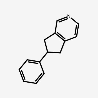 c1ccc(C2Cc3ccncc3C2)cc1